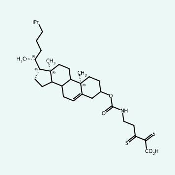 CC(C)CCC[C@@H](C)[C@H]1CCC2C3CC=C4CC(OC(=O)NCCC(=S)C(=S)C(=O)O)CC[C@]4(C)C3CC[C@@]21C